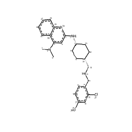 CN(C)c1cc(N[C@H]2CC[C@@H](CNCc3ccc(O)cc3Cl)CC2)nc2ccccc12